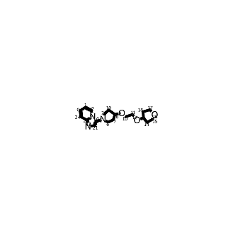 c1ccn2c(N3CCC(OCCOC4CCOCC4)CC3)cnc2c1